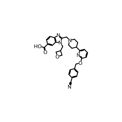 N#Cc1ccc(COc2cccc(C3CCN(Cc4nc5ccc(C(=O)O)cc5n4CC4COC4)CC3)n2)cc1